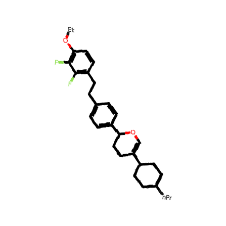 CCCC1CCC(C2=COC(c3ccc(CCc4ccc(OCC)c(F)c4F)cc3)CC2)CC1